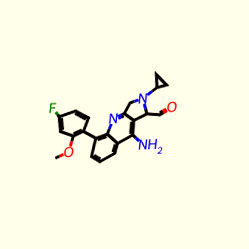 COc1cc(F)ccc1-c1cccc2c(N)c3c(nc12)CN(C1CC1)C3C=O